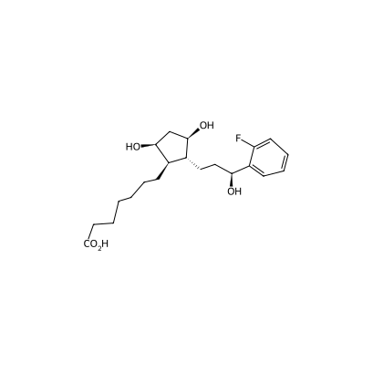 O=C(O)CCCCCC[C@@H]1[C@@H](CC[C@H](O)c2ccccc2F)[C@H](O)C[C@@H]1O